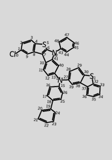 Clc1ccc2sc3c(c2c1)c1ccc(N(c2ccc(-c4ccccc4)cc2)c2ccc4sc5ccccc5c4c2)cc1n3-c1ccccc1